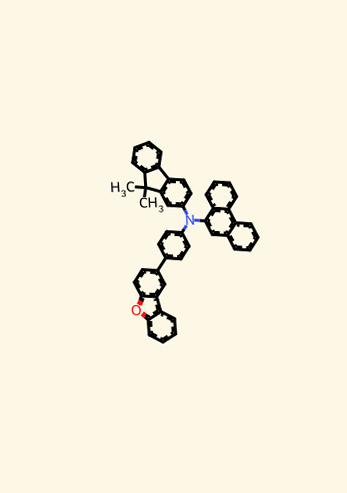 CC1(C)c2ccccc2-c2ccc(N(c3ccc(-c4ccc5oc6ccccc6c5c4)cc3)c3cc4ccccc4c4ccccc34)cc21